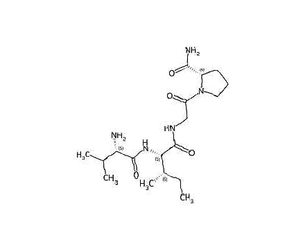 CC[C@H](C)[C@H](NC(=O)[C@@H](N)C(C)C)C(=O)NCC(=O)N1CCC[C@H]1C(N)=O